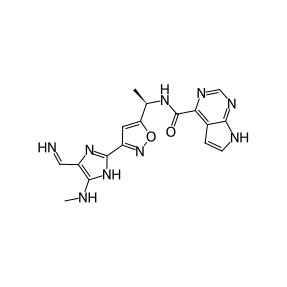 CNc1[nH]c(-c2cc([C@@H](C)NC(=O)c3ncnc4[nH]ccc34)on2)nc1C=N